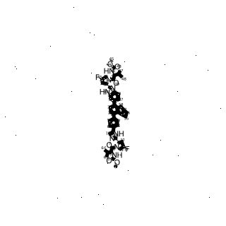 COC(=O)NC(C(=O)N1C[C@@H](F)C[C@H]1c1ncc(-c2ccc(-c3ccc(-c4ccc5nc([C@@H]6C[C@H](F)CN6C(=O)[C@@H](NC(=O)OC)C(C)C)[nH]c5c4)c4c3C3CCC3C4)cc2)[nH]1)C(C)C